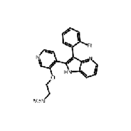 CCc1ccccc1-c1c(-c2ccncc2OCCNC)[nH]c2cccnc12